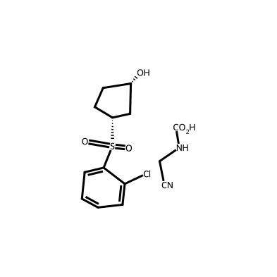 N#CCNC(=O)O.O=S(=O)(c1ccccc1Cl)[C@@H]1CC[C@H](O)C1